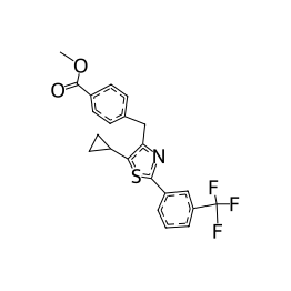 COC(=O)c1ccc(Cc2nc(-c3cccc(C(F)(F)F)c3)sc2C2CC2)cc1